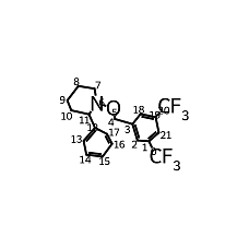 FC(F)(F)c1cc(CON2CCCCC2c2ccccc2)cc(C(F)(F)F)c1